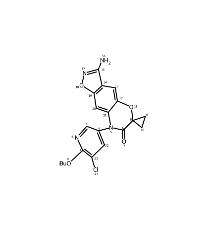 CC(C)COc1ncc(N2C(=O)C3(CC3)Oc3cc4c(N)noc4cc32)cc1Cl